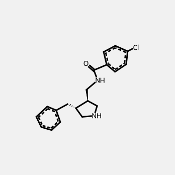 O=C(NC[C@H]1CNC[C@@H]1Cc1ccccc1)c1ccc(Cl)cc1